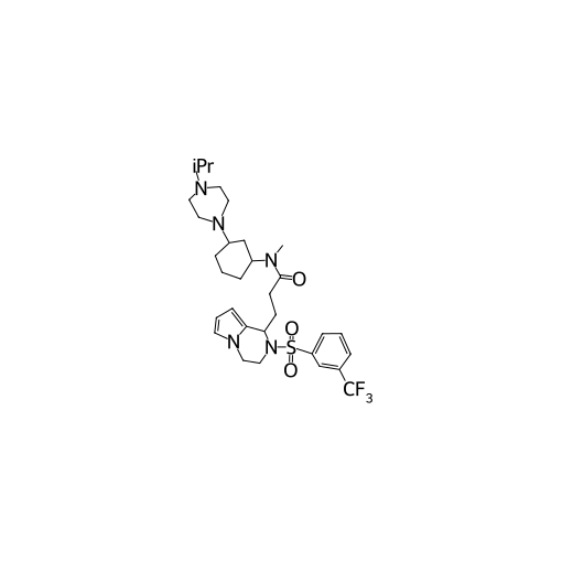 CC(C)N1CCN(C2CCCC(N(C)C(=O)CCC3c4cccn4CCN3S(=O)(=O)c3cccc(C(F)(F)F)c3)C2)CC1